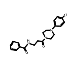 O=C(NCCC(=O)N1CCN(c2ccc(Cl)cc2)CC1)c1ccccc1